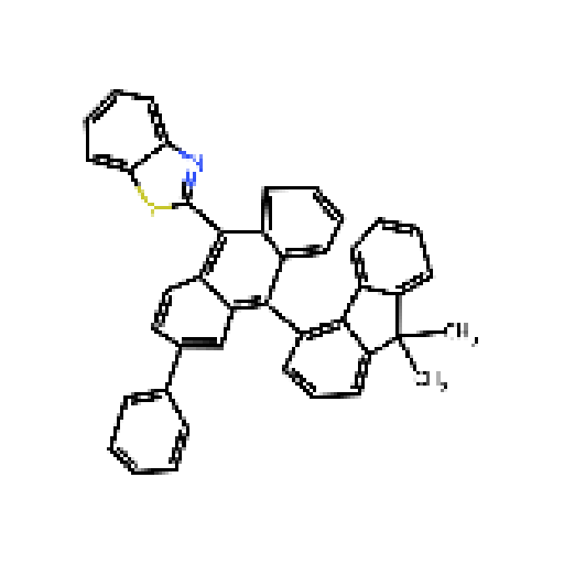 CC1(C)c2ccccc2-c2c(-c3c4ccccc4c(-c4nc5ccccc5s4)c4ccc(-c5ccccc5)cc34)cccc21